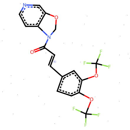 O=C(/C=C/c1ccc(OC(F)(F)F)c(OC(F)(F)F)c1)N1COc2cnccc21